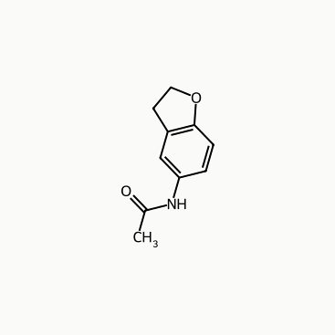 CC(=O)Nc1ccc2c(c1)CCO2